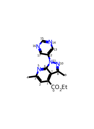 CCOC(=O)c1cc(C)nc2c1c(C)nn2-c1cncnc1